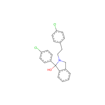 OC1(c2ccc(Cl)cc2)c2ccccc2CN1CCc1ccc(Cl)cc1